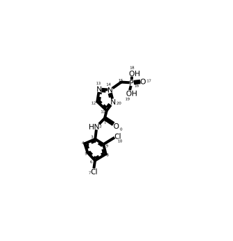 O=C(Nc1ccc(Cl)cc1Cl)c1cnn(CP(=O)(O)O)n1